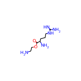 N=C(N)NCCCC(N)C(=O)OCCN